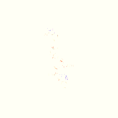 CC(C)(C)OC(=O)C(CCn1nnc2ccccc2c1=O)(CC(=O)c1cc2cc(OCc3cccc(C(N)=O)c3)ccc2o1)C(=O)OC(C)(C)C